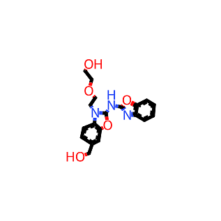 OCCOCCN1c2ccc(CO)cc2OC1Nc1nc2ccccc2o1